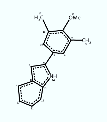 COc1c(C)cc(-c2cc3ccccc3[nH]2)cc1C